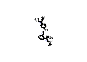 N=C/C(=C\N)c1ccc(N/C=C/c2cnccc2/C(C=N)=C/NC2CC2)cc1